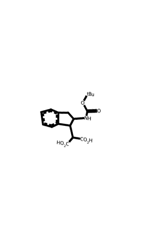 CC(C)(C)OC(=O)NC1Cc2ccccc2C1C(C(=O)O)C(=O)O